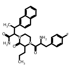 CCCC1C(=O)N(C(C(N)=O)C(C)c2ccc3ccccc3c2)CCN1C(=O)C(N)Cc1ccc(F)cc1